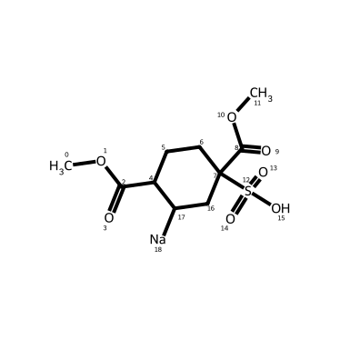 COC(=O)C1CCC(C(=O)OC)(S(=O)(=O)O)C[CH]1[Na]